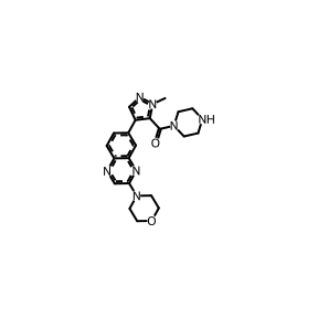 Cn1ncc(-c2ccc3ncc(N4CCOCC4)nc3c2)c1C(=O)N1CCNCC1